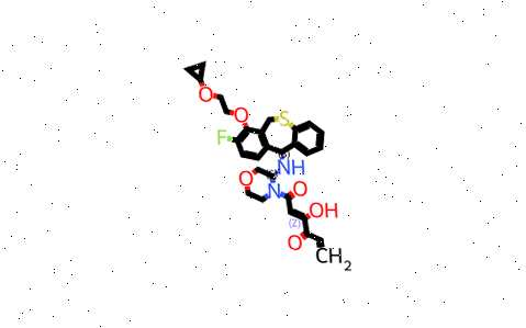 C=CC(=O)/C(O)=C/C(=O)N1CCOC[C@H]1N[C@@H]1c2ccccc2SCc2c1ccc(F)c2OCCOC1CC1